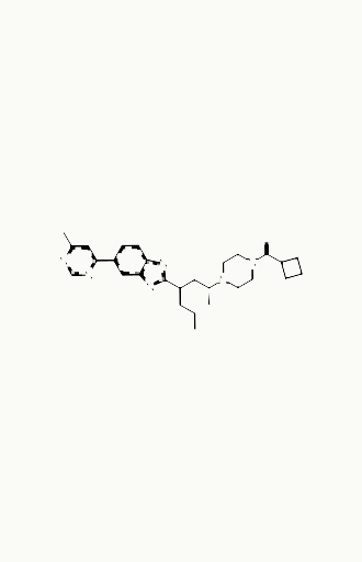 CCCC(C[C@H](C)N1CCN(C(=O)C2CCC2)CC1)c1nc2ccc(-c3cc(C)ncn3)cc2[nH]1